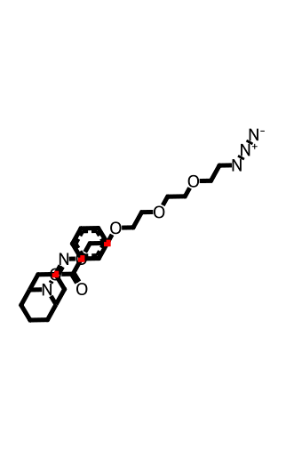 [N-]=[N+]=NCCOCCOCCOCCON=C1CC2CCCC(C1)N2OC(=O)c1ccccc1